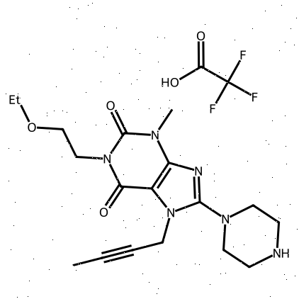 CC#CCn1c(N2CCNCC2)nc2c1c(=O)n(CCOCC)c(=O)n2C.O=C(O)C(F)(F)F